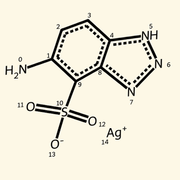 Nc1ccc2[nH]nnc2c1S(=O)(=O)[O-].[Ag+]